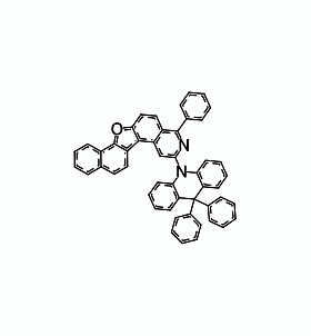 c1ccc(-c2nc(N3c4ccccc4C(c4ccccc4)(c4ccccc4)c4ccccc43)cc3c2ccc2oc4c5ccccc5ccc4c23)cc1